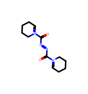 O=C(N=NC(=O)[N+]1=CCCCC1)[N+]1=CCCCC1